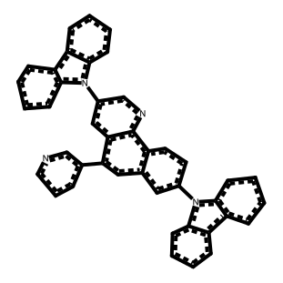 c1cncc(-c2cc3cc(-n4c5ccccc5c5ccccc54)ccc3c3ncc(-n4c5ccccc5c5ccccc54)cc23)c1